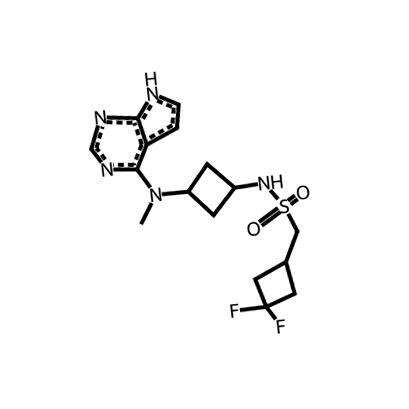 CN(c1ncnc2[nH]ccc12)C1CC(NS(=O)(=O)CC2CC(F)(F)C2)C1